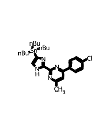 CCC[CH2][Sn]([CH2]CCC)([CH2]CCC)[c]1c[nH]c(-c2nc(C)cc(-c3ccc(Cl)cc3)n2)n1